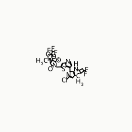 Cc1cc(Cl)nc(-c2ccnc3cc(CN4C(=O)C5C(C)(C)C5(OC(=O)C(F)(F)F)C4=O)sc23)c1NC1CC(F)(F)C1